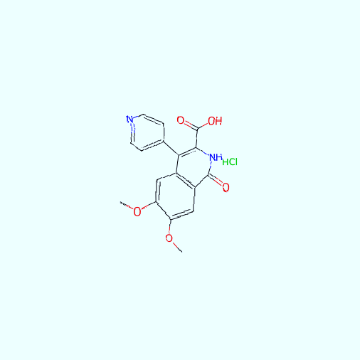 COc1cc2c(-c3ccncc3)c(C(=O)O)[nH]c(=O)c2cc1OC.Cl